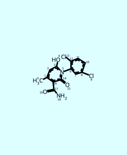 Cc1cc(O)n(-c2cc(Cl)ccc2Cl)c(=O)c1C(N)=O